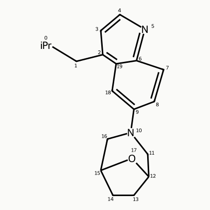 CC(C)Cc1ccnc2ccc(N3CC4CCC(C3)O4)cc12